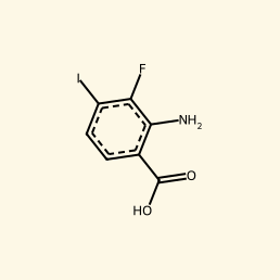 Nc1c(C(=O)O)ccc(I)c1F